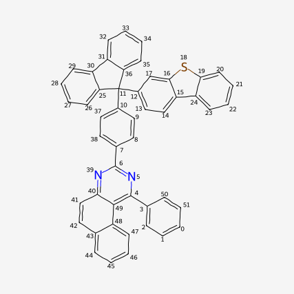 c1ccc(-c2nc(-c3ccc(C4(c5ccc6c(c5)sc5ccccc56)c5ccccc5-c5ccccc54)cc3)nc3ccc4ccccc4c23)cc1